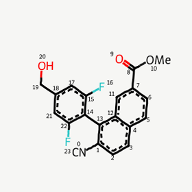 [C-]#[N+]c1ccc2ccc(C(=O)OC)cc2c1-c1c(F)cc(CO)cc1F